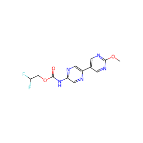 COc1ncc(-c2cnc(NC(=O)OCC(F)F)cn2)cn1